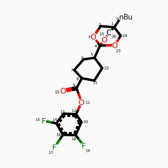 CCCCC12COC(C3CCC(C(=O)Oc4cc(F)c(F)c(F)c4)CC3)(OC1)OC2